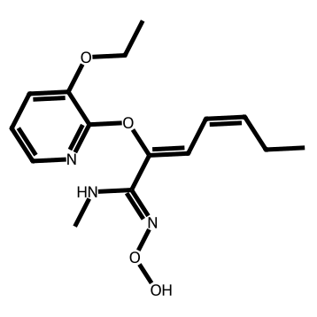 CC\C=C/C=C(Oc1ncccc1OCC)/C(=N/OO)NC